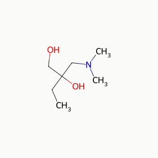 CCC(O)(CO)CN(C)C